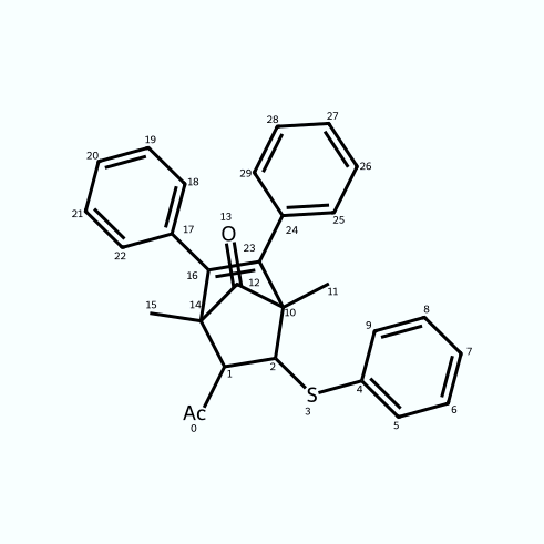 CC(=O)C1C(Sc2ccccc2)C2(C)C(=O)C1(C)C(c1ccccc1)=C2c1ccccc1